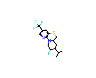 CC(C)C1CC2CSc3cc(C(F)(F)F)cnc3N2CC1F